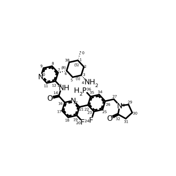 C[C@@H]1C[C@H](N)C[C@H](c2ccncc2NC(=O)c2ccc(F)c(-c3c(F)cc(CN4CCCC4=O)cc3P)n2)C1